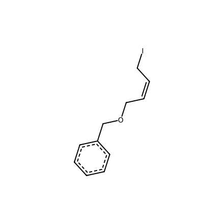 IC/C=C\COCc1ccccc1